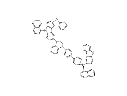 c1ccc2c(-n3c4ccc(-c5ccc(-c6ccc(-c7ccc8c(c7)c7c9c(ccc7n8-c7cccc8ccccc78)sc7ccccc79)c7ccccc67)cc5)cc4c4c5c(ccc43)sc3ccccc35)cccc2c1